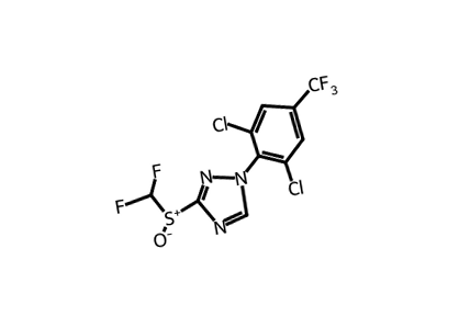 [O-][S+](c1ncn(-c2c(Cl)cc(C(F)(F)F)cc2Cl)n1)C(F)F